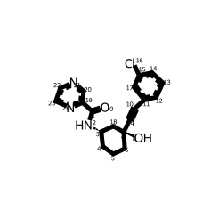 O=C(N[C@H]1CCC[C@@](O)(C#Cc2cccc(Cl)c2)C1)c1cnccn1